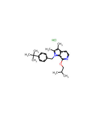 Cc1c(C)n(Cc2ccc(C(C)(C)C)cc2)c2c(OCC(C)C)nccc12.Cl